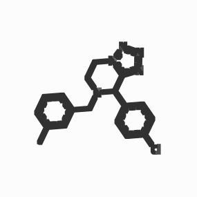 Cc1cccc(CN2CCn3nnnc3C2c2ccc(Cl)cc2)c1